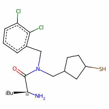 CCC(C)[C@H](N)C(=O)N(Cc1cccc(Cl)c1Cl)CC1CCC(S)C1